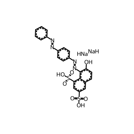 O=S(=O)(O)c1cc(S(=O)(=O)O)c2c(/N=N/c3ccc(/N=N/c4ccccc4)cc3)c(O)ccc2c1.[NaH].[NaH]